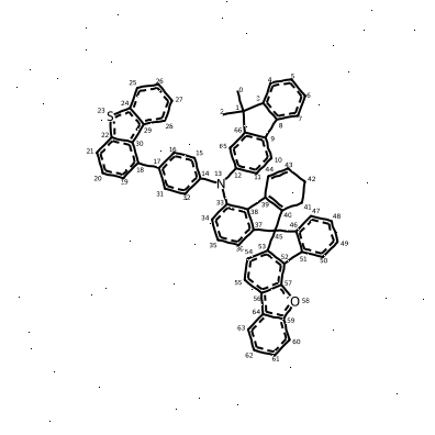 CC1(C)c2ccccc2-c2ccc(N(c3ccc(-c4cccc5sc6ccccc6c45)cc3)c3cccc4c3C3=C(CCC=C3)C43c4ccccc4-c4c3ccc3c4oc4ccccc43)cc21